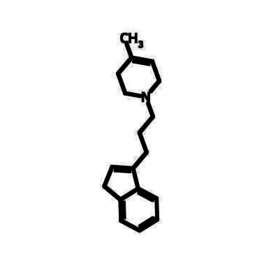 CC1=CCN(CCCC2=CCc3ccccc32)CC1